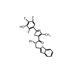 Cc1nc(-c2cc(F)c(F)c(O)c2F)sc1C(=O)N(Cc1cc2ccccc2s1)C(C)C